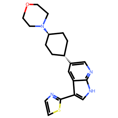 c1csc(-c2c[nH]c3ncc([C@H]4CC[C@H](N5CCOCC5)CC4)cc23)n1